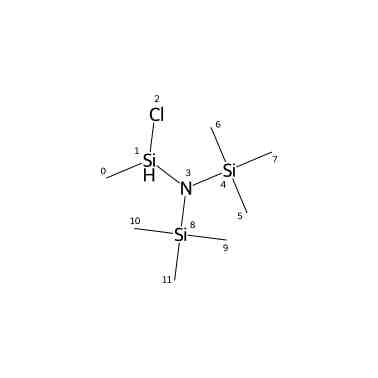 C[SiH](Cl)N([Si](C)(C)C)[Si](C)(C)C